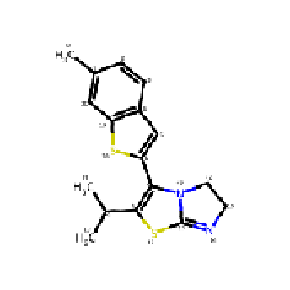 Cc1ccc2cc(C3=C(C(C)C)SC4=NCCN43)sc2c1